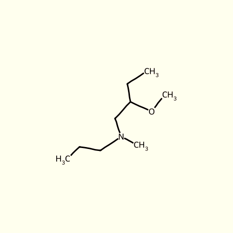 CCCN(C)CC(CC)OC